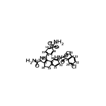 NC(=O)c1nn(-c2ccc(S(N)(=O)=O)cc2)c2c1CCc1ccc(NS(=O)(=O)c3cc(Cl)ccc3Cl)cc1-2